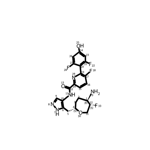 N[C@@H]1CC[C@@H](Cc2[nH]ncc2NC(=O)c2ccc(F)c(-c3c(F)cc(O)cc3F)n2)OC[C@H]1F